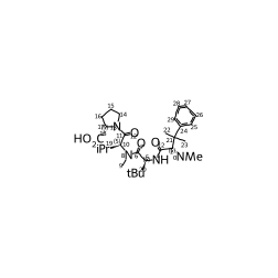 CN[C@H](C(=O)N[C@H](C(=O)N(C)[C@H](C(=O)N1CCC[C@H]1C(=O)O)C(C)C)C(C)(C)C)C(C)(C)c1ccccc1